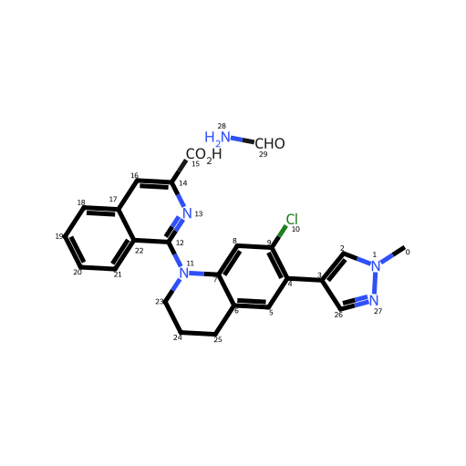 Cn1cc(-c2cc3c(cc2Cl)N(c2nc(C(=O)O)cc4ccccc24)CCC3)cn1.NC=O